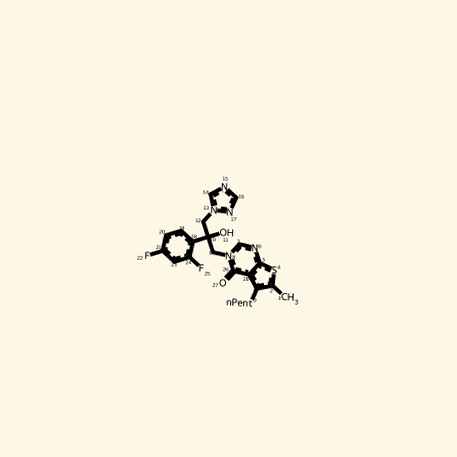 CCCCCc1c(C)sc2ncn(CC(O)(Cn3cncn3)c3ccc(F)cc3F)c(=O)c12